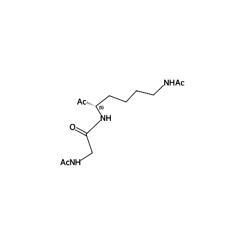 CC(=O)NCCCC[C@H](NC(=O)CNC(C)=O)C(C)=O